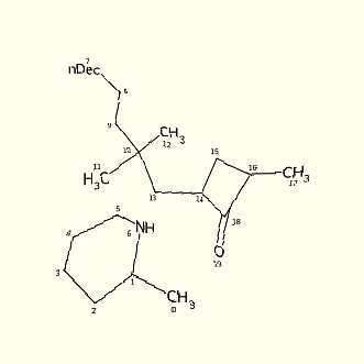 CC1CCCCN1.CCCCCCCCCCCCC(C)(C)CC1CC(C)C1=O